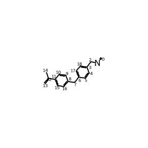 C=NCc1ccc(Cc2ccc(C(=C)C)cc2)cc1